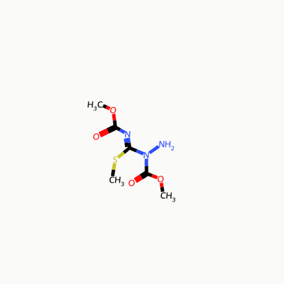 COC(=O)N=C(SC)N(N)C(=O)OC